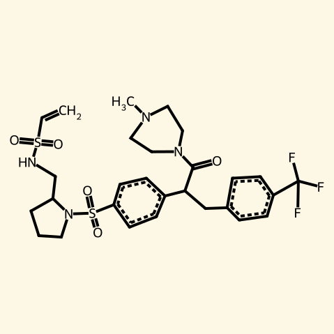 C=CS(=O)(=O)NCC1CCCN1S(=O)(=O)c1ccc(C(Cc2ccc(C(F)(F)F)cc2)C(=O)N2CCN(C)CC2)cc1